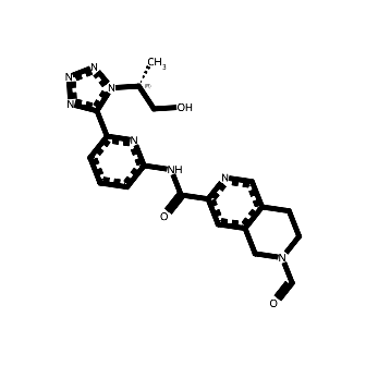 C[C@H](CO)n1nnnc1-c1cccc(NC(=O)c2cc3c(cn2)CCN(C=O)C3)n1